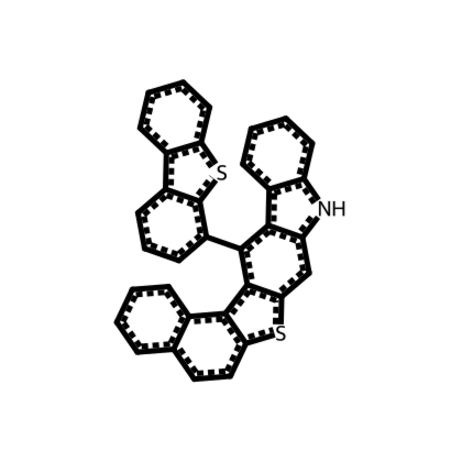 c1ccc2c(c1)ccc1sc3cc4[nH]c5ccccc5c4c(-c4cccc5c4sc4ccccc45)c3c12